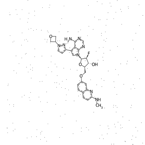 CNc1ccc2ccc(OC[C@H]3O[C@@H](n4cc(-c5ccn(C6COC6)n5)c5c(N)ncnc54)[C@@H](F)[C@@H]3O)cc2n1